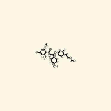 Cc1cc(F)cc(C)c1C(=O)c1sc2cc(O)ccc2c1Oc1ccc(/C=C/OC=O)c(F)c1